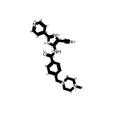 CN1CCN(Cc2ccc(C(=O)Nc3sc(-c4ccncc4)nc3C#N)cc2)CC1